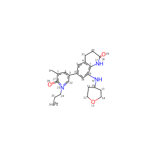 Cc1cc(-c2cc3c(c(NC4CCOCC4)c2)NC(=O)CC3)cn(CCC(C)C)c1=O